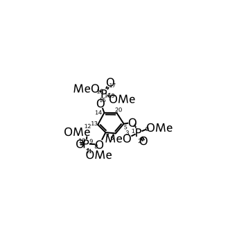 COP(=O)(OC)Oc1cc(OP(=O)(OC)OC)cc(OP(=O)(OC)OC)c1